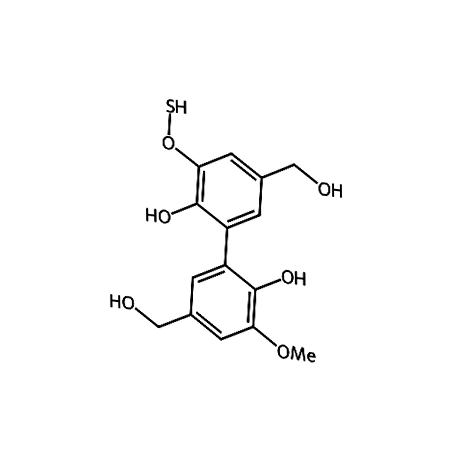 COc1cc(CO)cc(-c2cc(CO)cc(OS)c2O)c1O